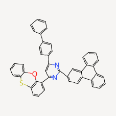 c1ccc(-c2ccc(-c3cc(-c4cccc5c4Oc4ccccc4S5)nc(-c4ccc5c6ccccc6c6ccccc6c5c4)n3)cc2)cc1